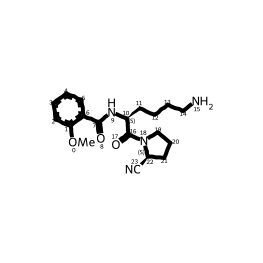 COc1ccccc1C(=O)N[C@@H](CCCCN)C(=O)N1CCC[C@H]1C#N